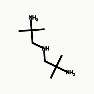 CC(C)(N)CNCC(C)(C)N